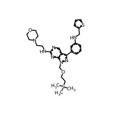 C[Si](C)(C)CCOCn1nc(-c2cccc(NCc3cccs3)c2)c2cnc(NCCN3CCOCC3)nc21